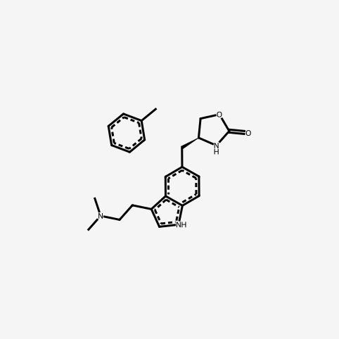 CN(C)CCc1c[nH]c2ccc(C[C@H]3COC(=O)N3)cc12.Cc1ccccc1